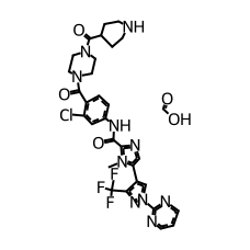 Cn1c(-c2cn(-c3ncccn3)nc2C(F)(F)F)cnc1C(=O)Nc1ccc(C(=O)N2CCN(C(=O)C3CCNCC3)CC2)c(Cl)c1.O=CO